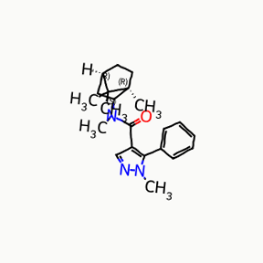 CN(C(=O)c1cnn(C)c1-c1ccccc1)[C@H]1C[C@H]2CC[C@]1(C)C2(C)C